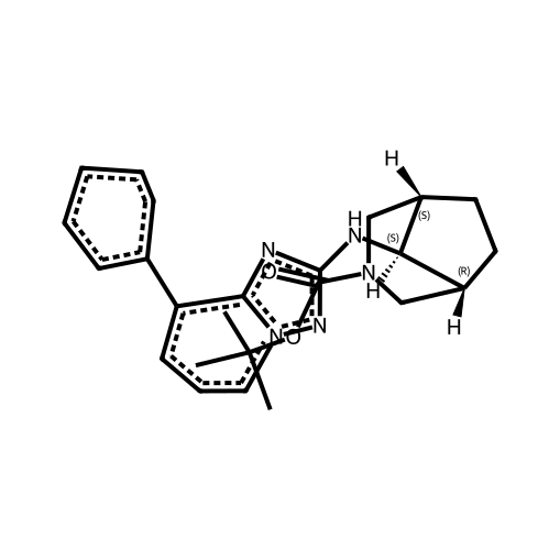 CC(C)(C)OC(=O)N1C[C@H]2CC[C@@H](C1)[C@@H]2Nc1nc2c(-c3ccccc3)cccn2n1